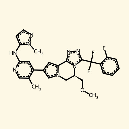 COC[C@H]1Cn2cc(-c3cc(Nc4ccnn4C)ncc3C)cc2-c2nnc(C(F)(F)c3ccccc3F)n21